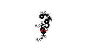 CCOC(=O)c1cccc(O[C@H]2CCc3cc(C(OC(=O)[C@@H](C)c4ccccc4)(C(F)(F)F)C(F)(F)F)ccc3N(C(=O)[C@@H](C)c3ccccc3)C2)c1